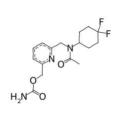 CC(=O)N(Cc1cccc(COC(N)=O)n1)C1CCC(F)(F)CC1